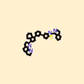 c1cc(-c2ccc3sc(-c4nccc5ccccc45)nc3c2)cc(-c2ccc(-c3ccc4ccc5cccnc5c4n3)c3ccccc23)c1